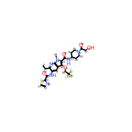 CCc1nc2c(cc1NC(=O)c1nccs1)c(OCC(F)(F)F)c(C(=O)NC1CCN(C(=O)CO)CC1)n2C